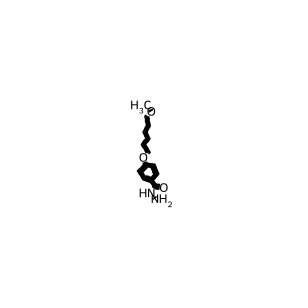 COCCCCCCOc1ccc(C(=O)NN)cc1